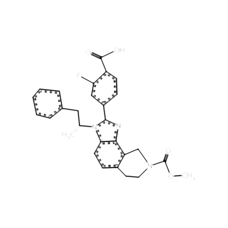 COC(=O)N1CCc2ccc3c(nc(-c4ccc(C(=O)O)c(F)c4)n3[C@H](C)Cc3ccccc3)c2C1